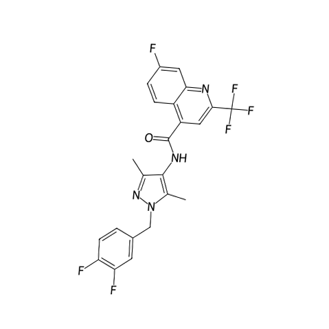 Cc1nn(Cc2ccc(F)c(F)c2)c(C)c1NC(=O)c1cc(C(F)(F)F)nc2cc(F)ccc12